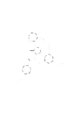 COc1cc(F)c(-c2c(NC(=O)c3ccc(OC(F)F)cc3)c(=O)n(-c3ncccc3N(C)C)n2C)c(F)c1